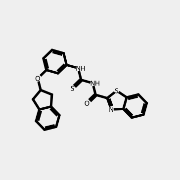 O=C(NC(=S)Nc1cccc(OC2Cc3ccccc3C2)c1)c1nc2ccccc2s1